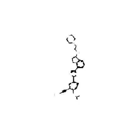 CC#Cc1cc(-c2ncc(-c3cccc4c3CCC4NCCN3CCOCC3)s2)ccc1OC(C)C